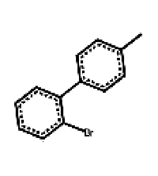 Cc1ccc(-c2ccc[c]c2Br)cc1